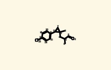 CC(C=O)CC1(C)CC1c1ccc(Cl)cc1